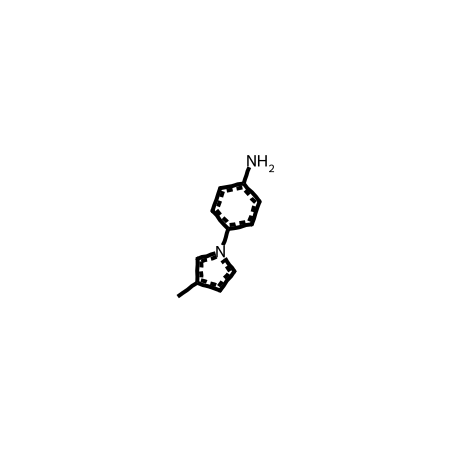 Cc1ccn(-c2ccc(N)cc2)c1